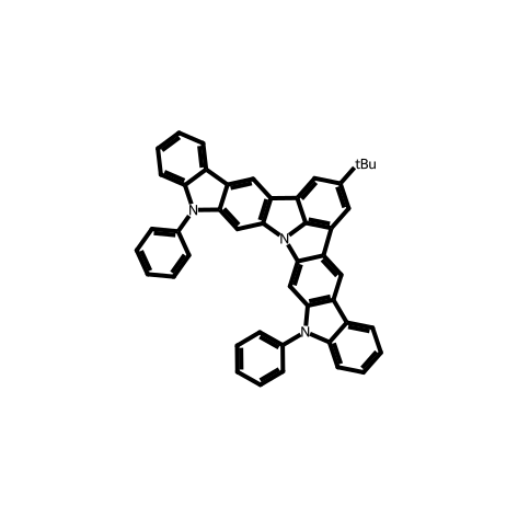 CC(C)(C)c1cc2c3cc4c5ccccc5n(-c5ccccc5)c4cc3n3c4cc5c(cc4c(c1)c23)c1ccccc1n5-c1ccccc1